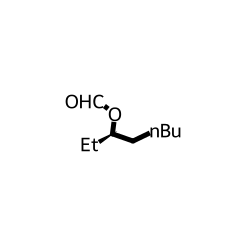 CCCCC[C@@H](CC)OC=O